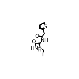 O=C(Cc1cccs1)N[C@@H]1C(=O)N[C@@H]1CI